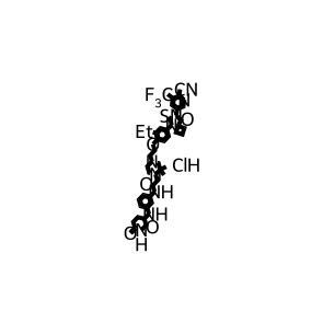 CCc1cc(N2C(=S)N(c3cnc(C#N)c(C(F)(F)F)c3)C(=O)C23CCC3)ccc1OCCN1CCN(CC(=O)Nc2cccc(NC3CCC(=O)NC3=O)c2)C(C)(C)C1.Cl